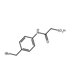 CC(C)(C)Cc1ccc(NC(=O)CS(=O)(=O)O)cc1